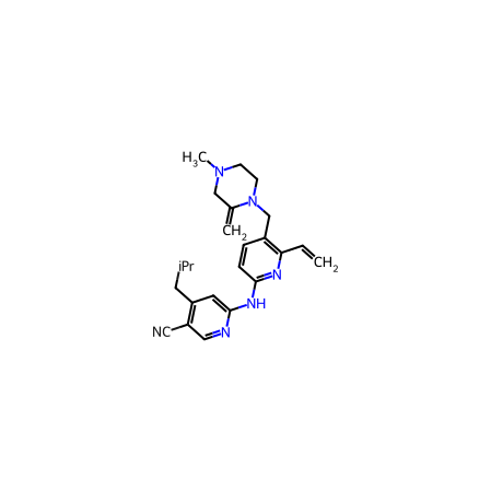 C=Cc1nc(Nc2cc(CC(C)C)c(C#N)cn2)ccc1CN1CCN(C)CC1=C